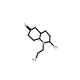 CCCN1C(C)CCC2CC(=O)CCC21